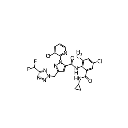 Cc1cc(Cl)cc(C(=O)NC2CC2)c1NC(=O)c1cc(Cn2nnc(C(F)F)n2)nn1-c1ncccc1Cl